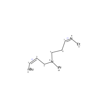 CCCC/C=C\CN(CC/C=N\CC)C(C)C